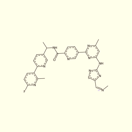 C/N=C\c1nc(Nc2cc(C)nc(-c3ccc(C(=O)NC(C)c4ccc(-c5ccc(F)nc5C)nc4)nc3)n2)ns1